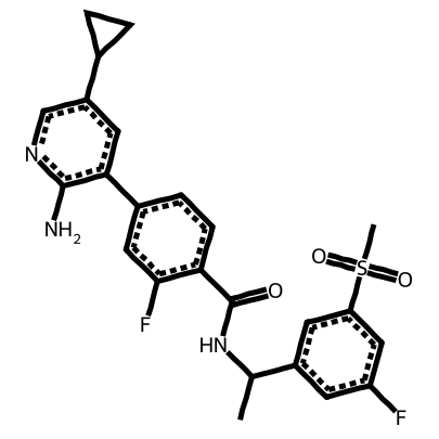 CC(NC(=O)c1ccc(-c2cc(C3CC3)cnc2N)cc1F)c1cc(F)cc(S(C)(=O)=O)c1